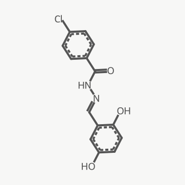 O=C(NN=Cc1cc(O)ccc1O)c1ccc(Cl)cc1